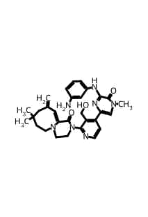 C=C1/C=C2/C(=O)N(c3nccc(-c4cn(C)c(=O)c(Nc5cccc(N)c5)n4)c3CO)CCN2CCC(C)(C)C1